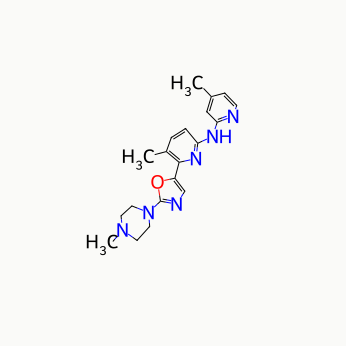 Cc1ccnc(Nc2ccc(C)c(-c3cnc(N4CCN(C)CC4)o3)n2)c1